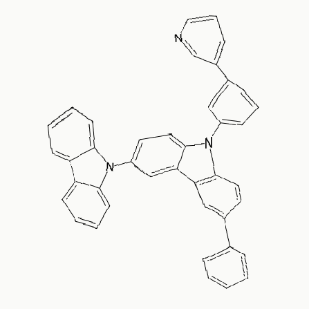 c1ccc(-c2ccc3c(c2)c2cc(-n4c5ccccc5c5ccccc54)ccc2n3-c2cccc(-c3cccnc3)c2)cc1